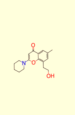 Cc1cc(CCO)c2oc(N3CCCCC3)cc(=O)c2c1